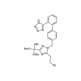 CCCCC(OC)(OC)c1nc(CCC(C)C)n(Cc2ccc(-c3ccccc3-c3nnn[nH]3)cc2)n1